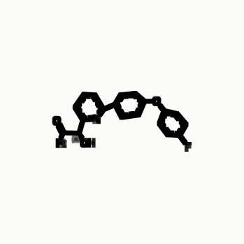 CCC(=O)[C@H](O)c1cccc(-c2ccc(Oc3ccc(F)cc3)cc2)n1